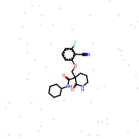 N#Cc1c(F)cccc1OCC1(C(=O)NC2CCCCC2)CCCNC1=O